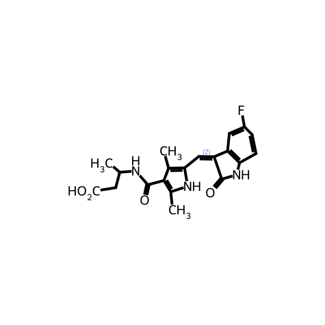 Cc1[nH]c(/C=C2\C(=O)Nc3ccc(F)cc32)c(C)c1C(=O)NC(C)CC(=O)O